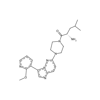 COc1ncccc1-c1cnc2ccc(N3CCN(C(=O)[C@@H](N)CC(C)C)CC3)nn12